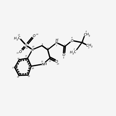 CC(C)(C)OC(=O)NC1CN(S(C)(=O)=O)c2ccccc2NC1=O